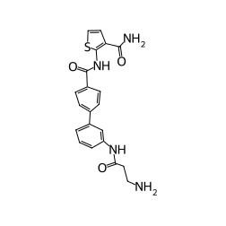 NCCC(=O)Nc1cccc(-c2ccc(C(=O)Nc3sccc3C(N)=O)cc2)c1